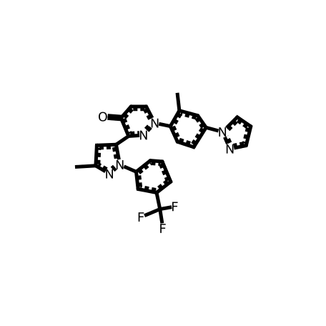 Cc1cc(-c2nn(-c3ccc(-n4cccn4)cc3C)ccc2=O)n(-c2cccc(C(F)(F)F)c2)n1